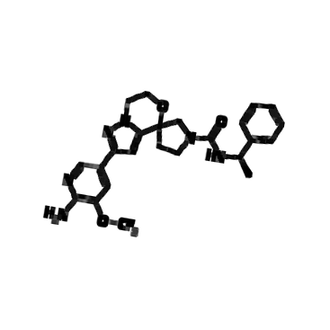 C[C@@H](NC(=O)N1CCC2(C1)OCCn1nc(-c3cnc(N)c(OC(F)(F)F)c3)cc12)c1ccccc1